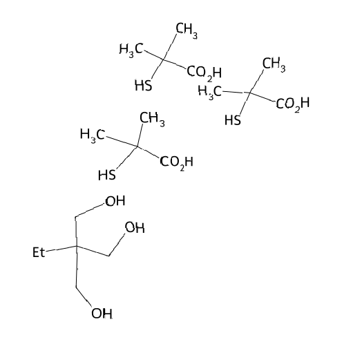 CC(C)(S)C(=O)O.CC(C)(S)C(=O)O.CC(C)(S)C(=O)O.CCC(CO)(CO)CO